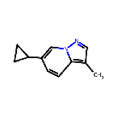 Cc1cnn2cc(C3CC3)ccc12